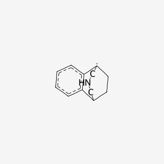 c1ccc2c(c1)[C]1CCC2CNC1